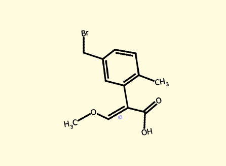 CO/C=C(/C(=O)O)c1cc(CBr)ccc1C